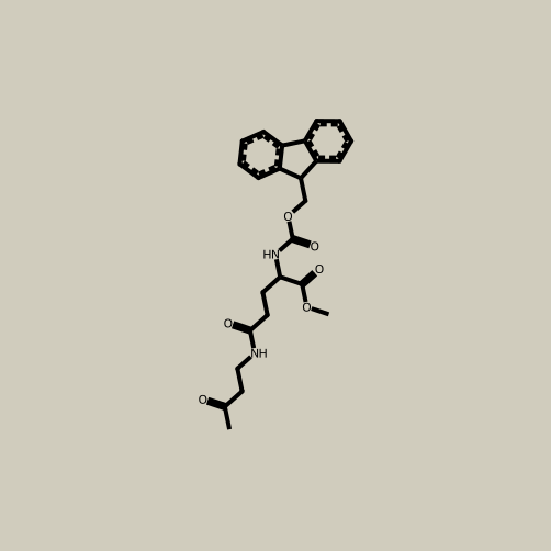 COC(=O)C(CCC(=O)NCCC(C)=O)NC(=O)OCC1c2ccccc2-c2ccccc21